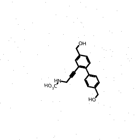 O=C(O)NCC#Cc1cc(CO)ccc1-c1ccc(CO)cc1